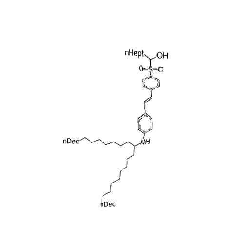 CCCCCCCCCCCCCCCCCCC(CCCCCCCCCCCCCCCCC)Nc1ccc(C=Cc2ccc(S(=O)(=O)C(O)CCCCCCC)cc2)cc1